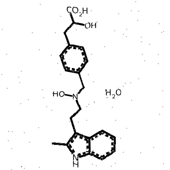 Cc1[nH]c2ccccc2c1CCN(O)Cc1ccc(CC(O)C(=O)O)cc1.O